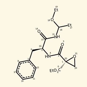 CCOC(=O)[C@@]1(C(=O)N[C@@H](Cc2ccccc2)C(=O)NC(CC)OCC)CO1